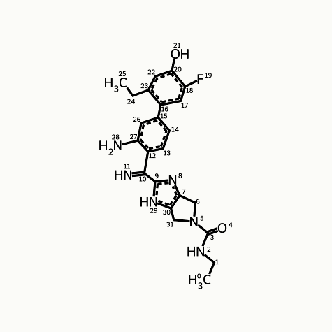 CCNC(=O)N1Cc2nc(C(=N)c3ccc(-c4cc(F)c(O)cc4CC)cc3N)[nH]c2C1